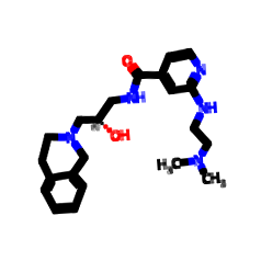 CN(C)CCNc1cc(C(=O)NC[C@H](O)CN2CCc3ccccc3C2)ccn1